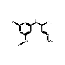 CCNc1nc(Cl)nc(NC(C)C=NOC)n1